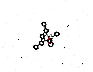 c1ccc(-c2ccc3c(c2)c2ccc4c5cc(-c6ccccc6)ccc5n(-c5nc(-c6ccccc6)nc(-c6ccccc6)n5)c4c2n3-c2ccccc2)cc1